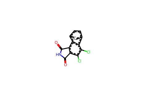 O=C1NC(=O)c2c1c(Cl)c(Cl)c1c3ccc(cc3)c21